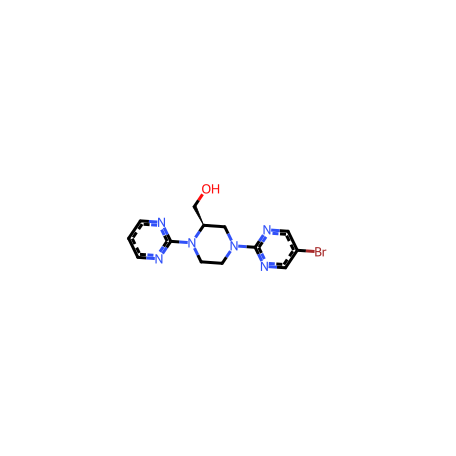 OC[C@H]1CN(c2ncc(Br)cn2)CCN1c1ncccn1